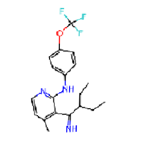 CCC(CC)C(=N)c1c(C)ccnc1Nc1ccc(OC(F)(F)F)cc1